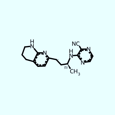 C[C@@H](C[CH]c1ccc2c(n1)NCCC2)Nc1nccnc1C#N